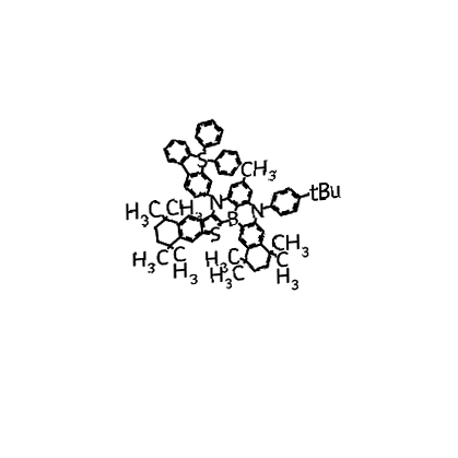 Cc1cc2c3c(c1)N(c1ccc4c(c1)S(c1ccccc1)(c1ccccc1)c1ccccc1-4)c1c(sc4cc5c(cc14)C(C)(C)CCC5(C)C)B3c1cc3c(cc1N2c1ccc(C(C)(C)C)cc1)C(C)(C)CCC3(C)C